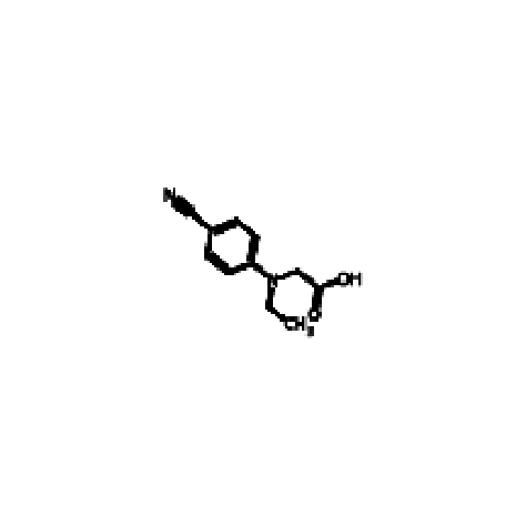 CCN(CC(=O)O)c1ccc(C#N)cc1